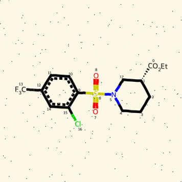 CCOC(=O)[C@@H]1CCCN(S(=O)(=O)c2ccc(C(F)(F)F)cc2Cl)C1